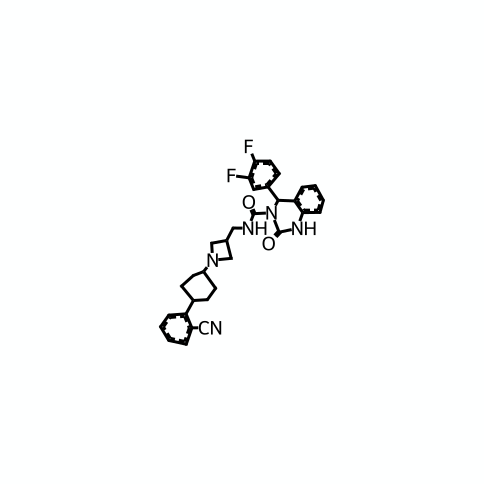 N#Cc1ccccc1C1CCC(N2CC(CNC(=O)N3C(=O)Nc4ccccc4C3c3ccc(F)c(F)c3)C2)CC1